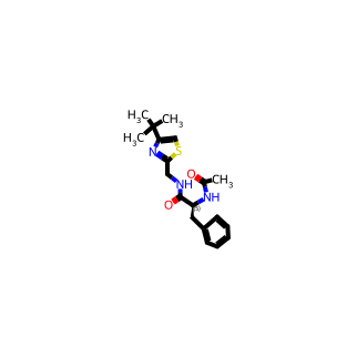 CC(=O)N[C@@H](Cc1ccccc1)C(=O)NCc1nc(C(C)(C)C)cs1